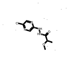 COC(C)C(=O)NNc1cnc(Cl)cn1